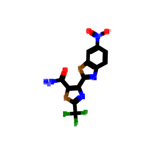 NC(=O)c1sc(C(F)(F)F)nc1-c1nc2ccc([N+](=O)[O-])cc2s1